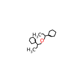 CCC(COCC(CC)C1=CCCCC1)C1=CCCCC1